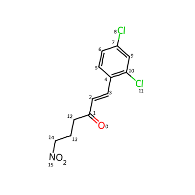 O=C(C=Cc1ccc(Cl)cc1Cl)CCC[N+](=O)[O-]